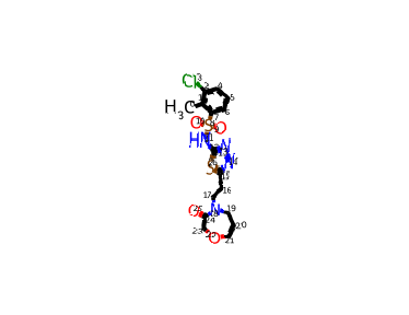 Cc1c(Cl)cccc1S(=O)(=O)Nc1nnc(CCN2CCCOCC2=O)s1